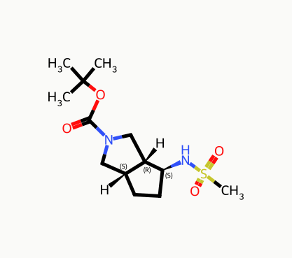 CC(C)(C)OC(=O)N1C[C@H]2CC[C@H](NS(C)(=O)=O)[C@H]2C1